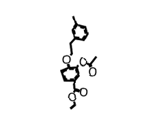 CCOC(=O)c1ccc(OCCc2cccc(C)c2)c(OC(C)=O)c1